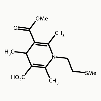 COC(=O)C1=C(C)N(CCSC)C(C)=C(C(=O)O)C1C